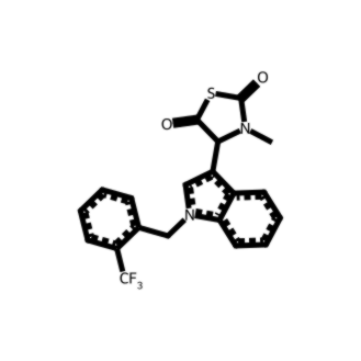 CN1C(=O)SC(=O)C1c1cn(Cc2ccccc2C(F)(F)F)c2ccccc12